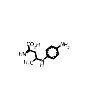 CC(CC(=N)C(=O)O)Nc1ccc(N)cc1